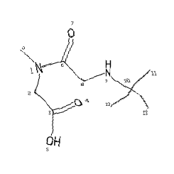 CN(CC(=O)O)C(=O)CNC(C)(C)C